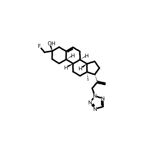 C=C(Cn1ncnn1)[C@H]1CC[C@H]2[C@@H]3CC=C4C[C@@](O)(CF)CC[C@@H]4[C@H]3CC[C@]12C